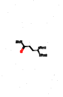 CCCCCC(CCCCC)CCC(=O)NC